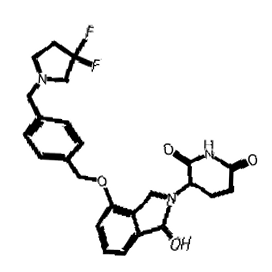 O=C1CCC(N2Cc3c(OCc4ccc(CN5CCC(F)(F)C5)cc4)cccc3C2O)C(=O)N1